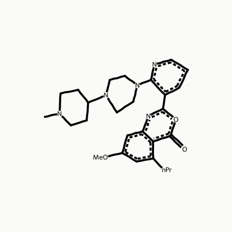 CCCc1cc(OC)cc2nc(-c3cccnc3N3CCN(C4CCN(C)CC4)CC3)oc(=O)c12